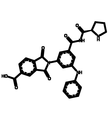 O=C(O)c1ccc2c(c1)C(=O)N(c1cc(Nc3ccccc3)cc(C(=O)NC(=O)[C@H]3CCCN3)c1)C2=O